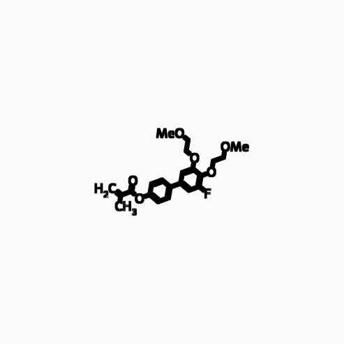 C=C(C)C(=O)Oc1ccc(-c2cc(F)c(OCCOC)c(OCCOC)c2)cc1